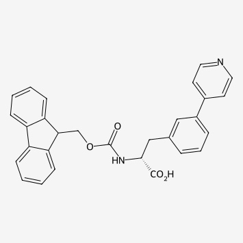 O=C(N[C@H](Cc1cccc(-c2ccncc2)c1)C(=O)O)OCC1c2ccccc2-c2ccccc21